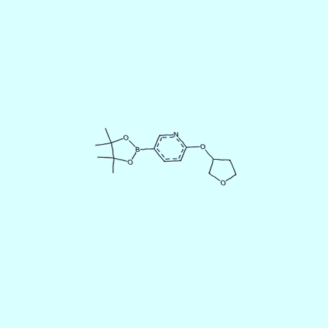 CC1(C)OB(c2ccc(OC3CCOC3)nc2)OC1(C)C